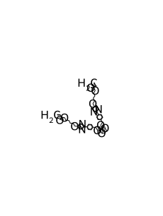 C=CC(=O)OCCCCOc1cnc(-c2ccc(CO[C@@H]3OCCO[C@H]3OCc3ccc(-c4ncc(OCCCCOC(=O)C=C)cn4)cc3)cc2)nc1